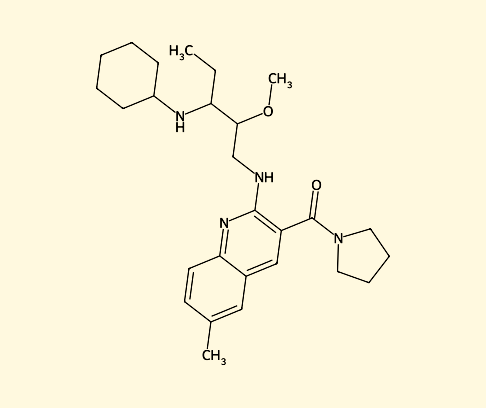 CCC(NC1CCCCC1)C(CNc1nc2ccc(C)cc2cc1C(=O)N1CCCC1)OC